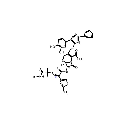 CC(C)(O/N=C(\C(=O)N[C@@H]1C(=O)N2C(C(=O)O)=C(CSc3nc(-c4ccccc4)ncc3-c3ccc(O)c(O)c3)CS[C@H]12)c1csc(N)n1)C(=O)NO